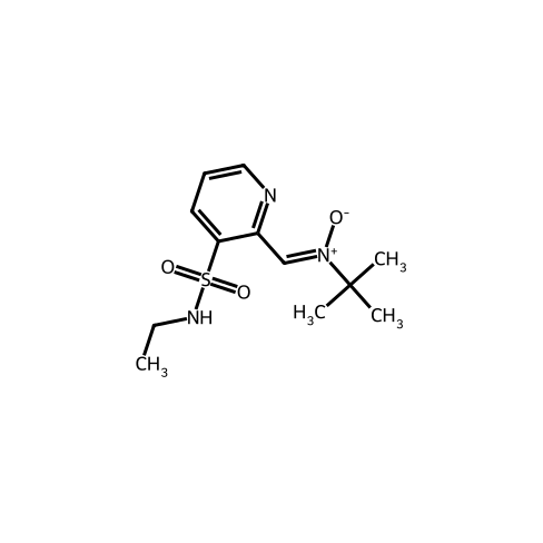 CCNS(=O)(=O)c1cccnc1/C=[N+](\[O-])C(C)(C)C